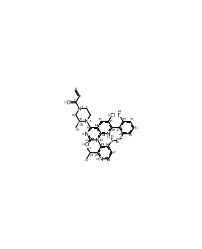 C=CC(=O)N1CCN(c2nc(=O)n(-c3c(SC)ccnc3C(C)C)c3nc(-c4c(F)cccc4F)c(Cl)cc23)[C@@H](C)C1